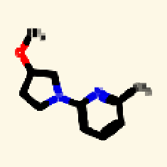 COC1CCN(c2cc[c]c(C)n2)C1